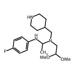 COC(CN(CC1CCNCC1)C(C)Nc1ccc(F)cc1)OC